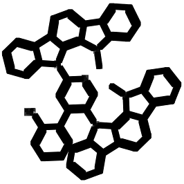 Cn1c2ccccc2c2ccc3c4ccccc4n(-c4cc(-c5ccccc5C#N)c(-n5c6ccccc6c6ccc7c8ccccc8n(C)c7c65)cn4)c3c21